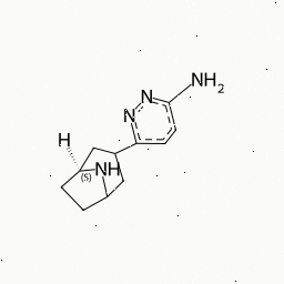 Nc1ccc(C2CC3CC[C@@H](C2)N3)nn1